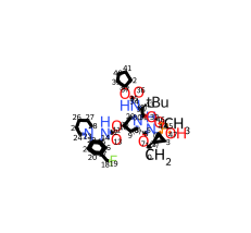 C=C[C@@H]1C[C@]1(NC(=O)[C@@H]1C[C@@H](OC(=O)Nc2cc(CF)ccc2N2CCCCC2)CN1C(=O)[C@@H](NC(=O)OC1CCCC1)C(C)(C)C)P(C)(=O)O